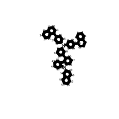 C1=Cc2ccccc2C(c2ccc(N(c3ccc(-c4cccc5ccccc45)cc3)c3cccc(-c4cccc5c4c4ccccc4n5-c4ccc5ccccc5c4)c3)cc2)C1